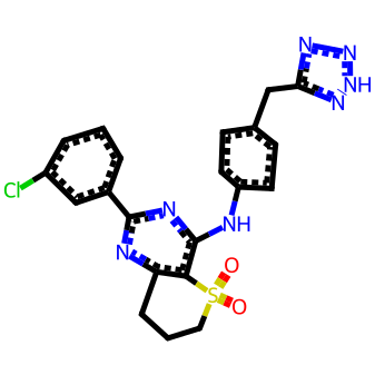 O=S1(=O)CCCc2nc(-c3cccc(Cl)c3)nc(Nc3ccc(Cc4nn[nH]n4)cc3)c21